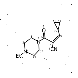 CCN1CCN(C(=O)/C(C#N)=C\C2CC2)CC1